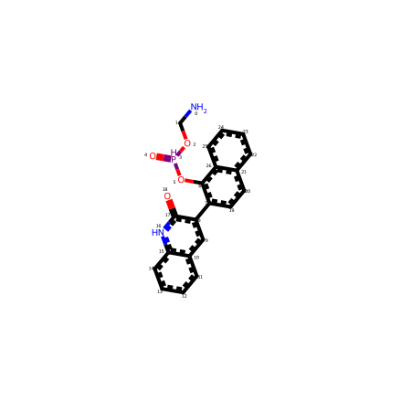 NCO[PH](=O)Oc1c(-c2cc3ccccc3[nH]c2=O)ccc2ccccc12